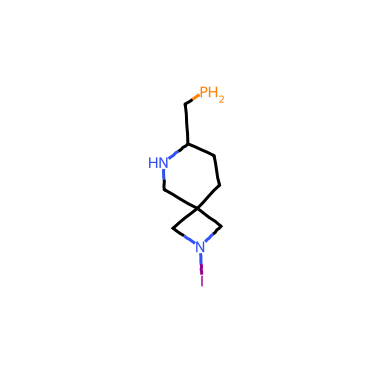 PCC1CCC2(CN1)CN(I)C2